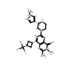 Cc1nc2c(nc(N3CCO[C@@H](c4cnn(C)c4)C3)nc2[C@H]2C[C@H](C(F)(F)F)C2)c(=O)n1C